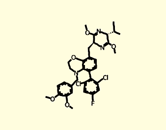 COC1=N[C@H](C(C)C)C(OC)=N[C@H]1Cc1ccc(-c2c(Cl)cc(F)cc2Cl)c2c1OCCN2Cc1ccc(OC)c(OC)c1